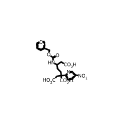 CCOC(=O)C(CCC(CC(=O)O)NC(=O)OCc1ccccc1)(CC(=O)O)c1ccc([N+](=O)[O-])cn1